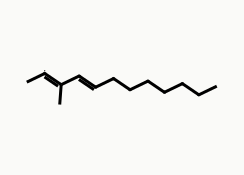 C/[C]=C(\C)C=CCCCCCCC